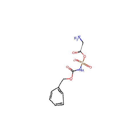 NCC(=O)OS(=O)(=O)NC(=O)OCc1ccccc1